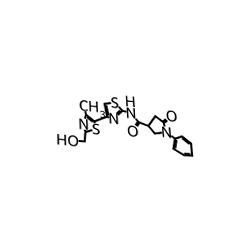 Cc1nc(CO)sc1-c1csc(NC(=O)C2CC(=O)N(c3ccccc3)C2)n1